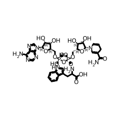 NC(=O)C1=CN([C@@H]2O[C@H](COP(=O)(O)OP(=O)(O)OC[C@H]3O[C@@H](n4cnc5c(N)ncnc54)[C@H](O)[C@@H]3O)[C@@H](O)[C@H]2O)C=CC1.NC(Cc1c[nH]c2ccccc12)C(=O)O